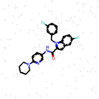 O=C(Nc1ccc(N2CCCCC2)nc1)c1cc2cc(F)ccc2n1Cc1cccc(F)c1